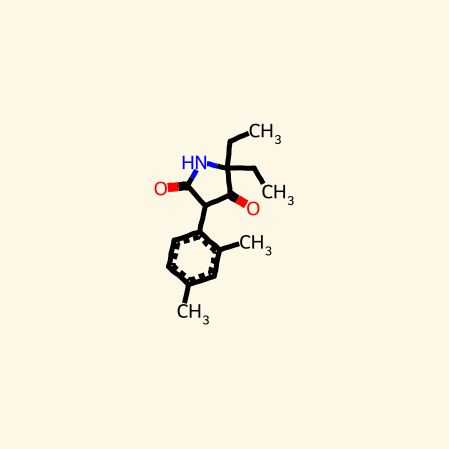 CCC1(CC)NC(=O)C(c2ccc(C)cc2C)C1=O